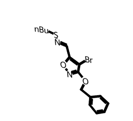 CCCCS/N=C/c1onc(OCc2ccccc2)c1Br